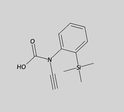 C#CN(C(=O)O)c1ccccc1[Si](C)(C)C